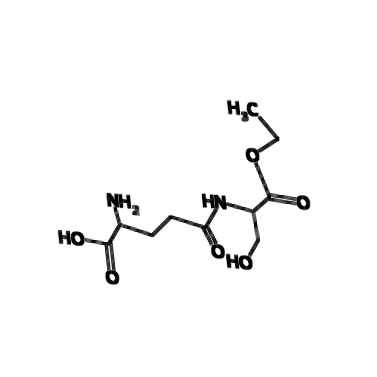 CCOC(=O)C(CO)NC(=O)CCC(N)C(=O)O